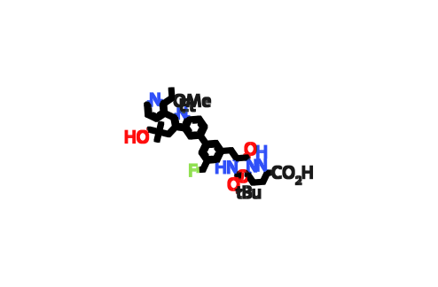 CCn1c(-c2cccnc2[C@H](C)OC)c(CC(C)(C)CO)c2cc(-c3cc(CF)cc(CC(NC(=O)OC(C)(C)C)C(=O)N4CCCC(C(=O)O)N4)c3)ccc21